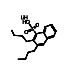 CCCCc1cc2ccccc2c(S(=O)(=O)O)c1CCCC.[LiH]